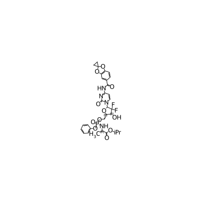 CC(C)OC(=O)[C@@H](C)NP(=O)(OC[C@H]1OC(n2ccc(NC(=O)c3ccc4c(c3)OC3(CC3)O4)nc2=O)C(F)(F)[C@@H]1O)Oc1ccccc1